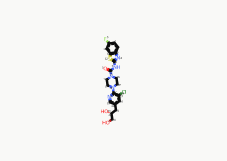 O=C(Nc1nc2ccc(F)cc2s1)N1CCN(c2ncc(C[C@@H](O)CO)cc2Cl)CC1